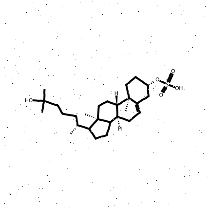 C[C@H](CCCC(C)(C)O)C1CCC2[C@@H]3CC=C4C[C@@H](OS(=O)(=O)O)CC[C@]4(C)[C@H]3CC[C@]12C